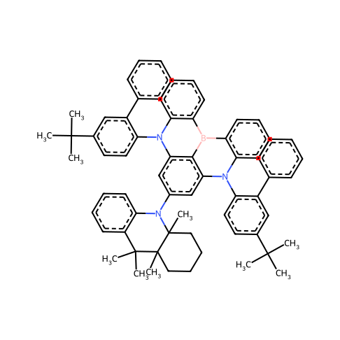 CC(C)(C)c1ccc(N2c3ccccc3B3c4ccccc4N(c4ccc(C(C)(C)C)cc4-c4ccccc4)c4cc(N5c6ccccc6C(C)(C)C6(C)CCCCC56C)cc2c43)c(-c2ccccc2)c1